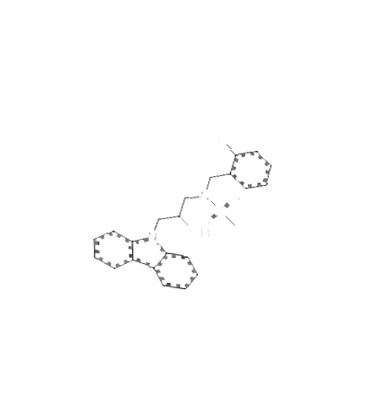 CS(=O)(=O)N(Cc1ccccc1F)CC(O)Cn1c2ccccc2c2ccccc21